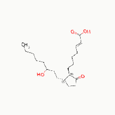 CCCCCC(O)CC[C@H]1CCC(=O)[C@@H]1CCCCC=CC(=O)O